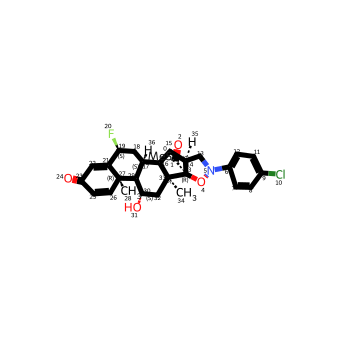 CSC(=O)[C@@]12ON(c3ccc(Cl)cc3)C[C@@H]1CC1[C@@H]3C[C@H](F)C4=CC(=O)C=C[C@]4(C)C3[C@@H](O)C[C@@]12C